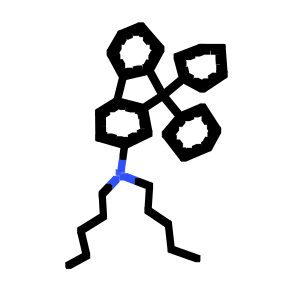 CCCCCN(CCCCC)c1ccc2c(c1)C(c1ccccc1)(c1ccccc1)c1ccccc1-2